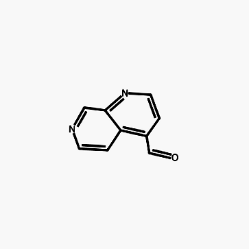 O=Cc1ccnc2cnccc12